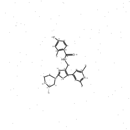 Cc1cc(-c2sc(N3CCO[C@@H](C)C3)nc2CNC(=O)c2ccc(F)cc2C)cc(C)n1